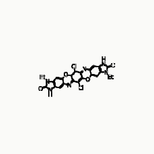 CCn1c(=O)[nH]c2cc3c(cc21)OC1=C(Cl)C2=Nc4cc5[nH]c(=O)n(CC)c5cc4OC2C(Cl)C1=N3